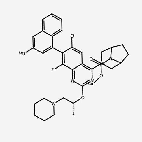 C[C@H](CN1CCCCC1)Oc1nc(N2CC3CCC(C2)N3C(=O)OC(C)(C)C)c2cc(Cl)c(-c3cc(O)cc4ccccc34)c(F)c2n1